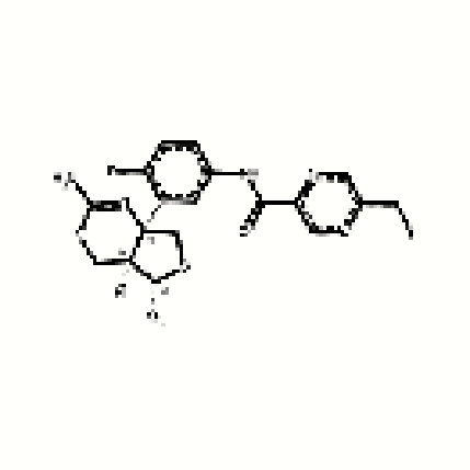 NC1=N[C@@]2(c3cc(NC(=O)c4cnc(CF)cn4)ccc3F)CO[C@H](C(F)(F)F)[C@H]2CS1